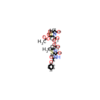 CC(=O)OC[C@@]1(C)[C@H](C(=O)OCOC(=O)[C@@H]2N3C(=O)[C@@H](NC(=O)COc4ccccc4)[C@H]3SC2(C)C)N2C(=O)C[C@H]2S1(=O)=O